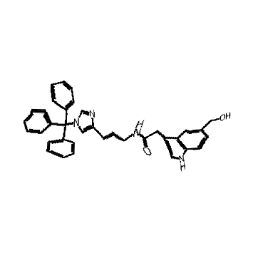 O=C(Cc1c[nH]c2ccc(CO)cc12)NCCCc1cn(C(c2ccccc2)(c2ccccc2)c2ccccc2)cn1